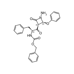 NN1C(=O)[C@H](C(=O)[C@H](Cc2ccccc2)NC(=O)OCc2ccccc2)[C@@H]1Oc1ccccc1